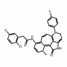 CN1C=CC(NC(=O)Cc2cc(F)ccc2Cl)=c2ccc3c4c([nH]c(=O)c-4c21)=CCN3c1ccc(F)cc1